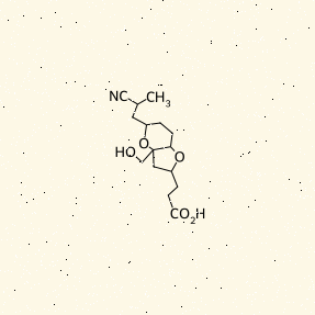 CC(C#N)CC1CCC2OC(CCC(=O)O)CC2(CO)O1